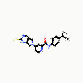 CC(C)c1ccc(NC(=O)c2cc(N3Cc4cnc(S)nc4C3)ccn2)cc1